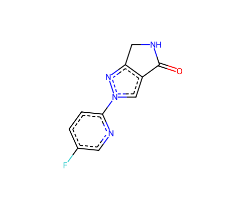 O=C1NCc2nn(-c3ccc(F)cn3)cc21